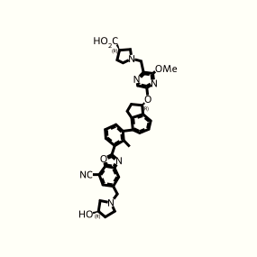 COc1nc(O[C@@H]2CCc3c(-c4cccc(-c5nc6cc(CN7CC[C@@H](O)C7)cc(C#N)c6o5)c4C)cccc32)cnc1CN1CC[C@@H](C(=O)O)C1